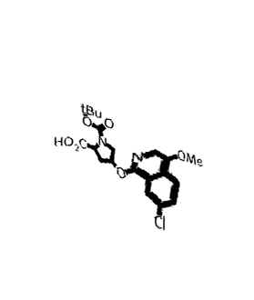 COc1cnc(OC2CC(C(=O)O)N(C(=O)OC(C)(C)C)C2)c2cc(Cl)ccc12